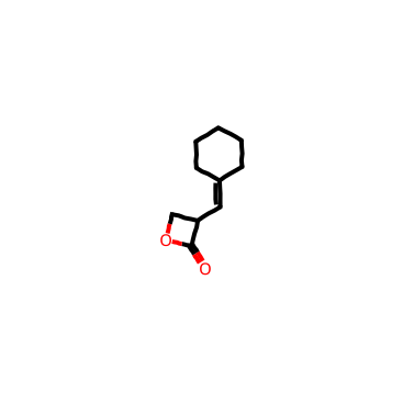 O=C1OCC1C=C1CCCCC1